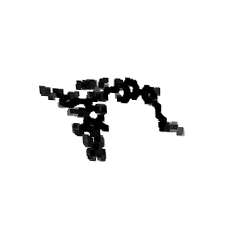 C[n+]1cc(-c2ccc3c(c2)CC[C@H]([C@H](O/N=C(\C(=O)N[C@@H]2C(=O)N(OS(=O)(=O)[O-])C2(C)C)c2csc(N)n2)C(=O)O)O3)cn1CCCN